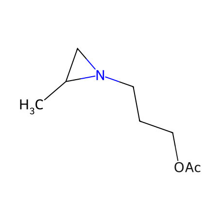 CC(=O)OCCCN1CC1C